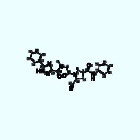 CN(CC(=O)N1CC(C(=O)Nc2ccccc2)CC1C#N)C(=O)c1n[nH]c(-c2ccccc2)n1